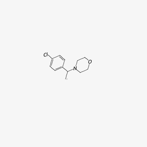 [CH2]C(c1ccc(Cl)cc1)N1CCOCC1